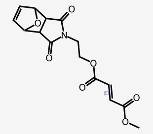 COC(=O)/C=C/C(=O)OCCN1C(=O)C2C3C=CC(O3)C2C1=O